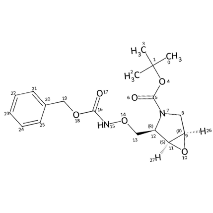 CC(C)(C)OC(=O)N1C[C@H]2O[C@H]2[C@H]1CONC(=O)OCc1ccccc1